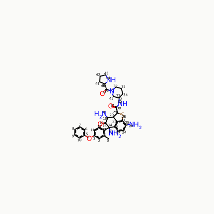 Cc1cc(Oc2ccccc2)ccc1C1(N)C(=O)C(N)C2c3c1ccc(N)c3SC2C(=O)N[C@@H]1CCCN(C(=O)[C@H]2CCCN2)C1